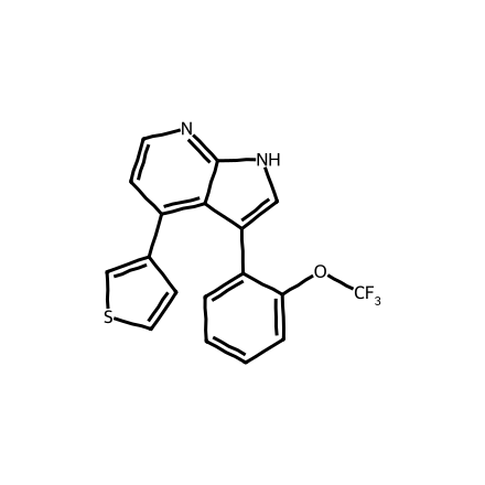 FC(F)(F)Oc1ccccc1-c1c[nH]c2nccc(-c3ccsc3)c12